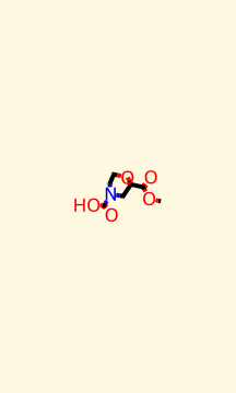 COC(=O)C1CN(C(=O)O)CCO1